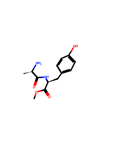 COC(=O)[C@H](Cc1ccc(O)cc1)NC(=O)[C@H](C)N